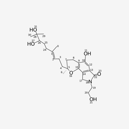 C/C(=C\CC[C@@]1(C)CCc2c(O)cc3c(c2O1)CN(CCO)C3=O)CCC(O)C(C)(C)O